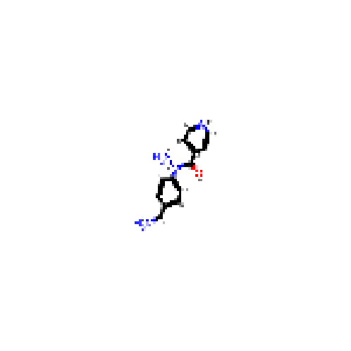 NCc1ccc(N(N)C(=O)c2ccncc2)cc1